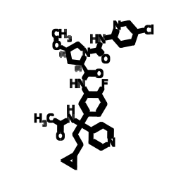 CO[C@@H]1C[C@H](C(=O)Nc2cc(C(CCC3CC3)(NC(C)=O)c3ccncc3)ccc2F)N(C(=O)Nc2ccc(Cl)cn2)C1